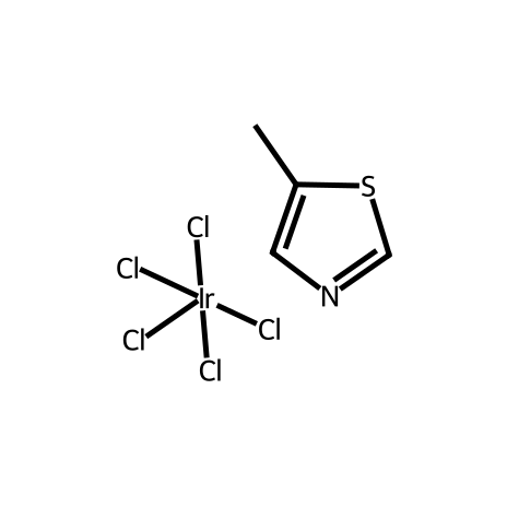 Cc1cncs1.[Cl][Ir]([Cl])([Cl])([Cl])[Cl]